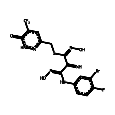 N=C(/C(=N/O)Nc1ccc(F)c(Br)c1)/C(=N\O)SCc1cc(C(F)(F)F)c(=O)[nH]n1